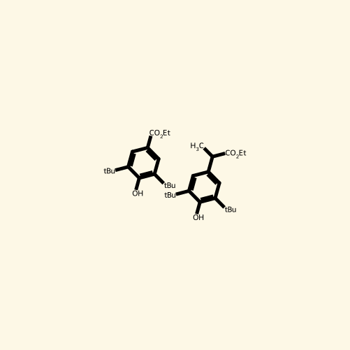 CCOC(=O)C(C)c1cc(C(C)(C)C)c(O)c(C(C)(C)C)c1.CCOC(=O)c1cc(C(C)(C)C)c(O)c(C(C)(C)C)c1